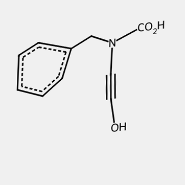 O=C(O)N(C#CO)Cc1ccccc1